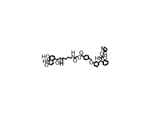 O=C(COC(=O)c1ccc(COc2cccc(C(NC(=O)O[C@H]3CN4CCC3CC4)c3ccccc3)c2)cc1)NCCCCNC[C@@H](O)c1ccc(O)c2[nH]c(=O)ccc12